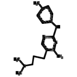 Cc1ccc(Nc2ncc(CCCN(C)C)c(N)n2)cc1